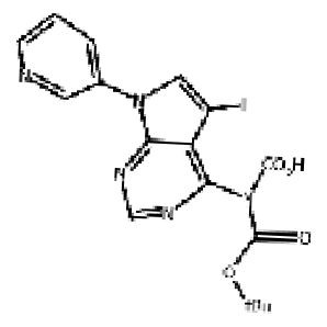 CC(C)(C)OC(=O)N(C(=O)O)c1ncnc2c1c(I)cn2-c1cccnc1